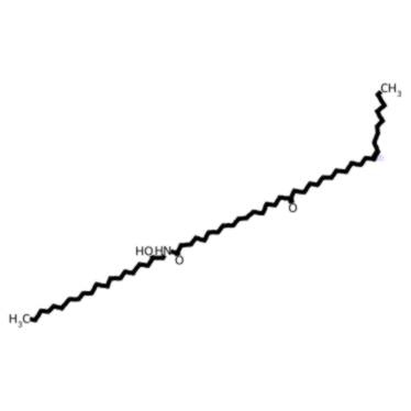 CCCCCCCC/C=C\CCCCCCCCCCCC(=O)CCCCCCCCCCCCCCCC(=O)NCC(O)CCCCCCCCCCCCCCCCCC